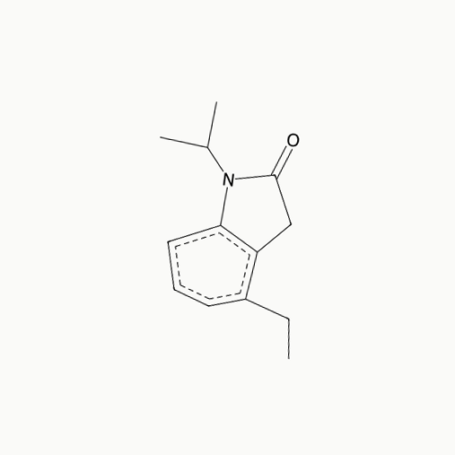 CCc1cccc2c1CC(=O)N2C(C)C